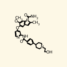 COc1cc2c(cc1Oc1ccnc(NC(=O)c3ccc(C4CCN(CCO)CC4)cc3)c1)cc(C)n2C(N)=O